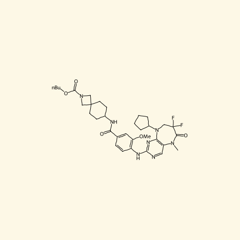 CCCCOC(=O)N1CC2(CCC(NC(=O)c3ccc(Nc4ncc5c(n4)N(C4CCCC4)CC(F)(F)C(=O)N5C)c(OC)c3)CC2)C1